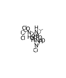 CC(C)CC(NC(=O)CNC(=O)c1cc(Cl)ccc1Cl)B1OC(=O)[C@H]2CN(c3ccccc3)C[C@H](C(=O)O1)N2C